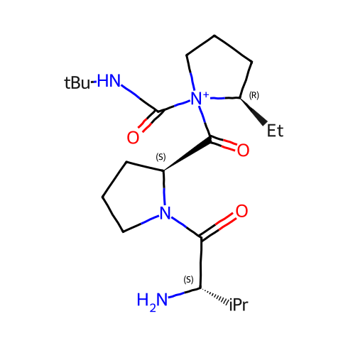 CC[C@@H]1CCC[N+]1(C(=O)NC(C)(C)C)C(=O)[C@@H]1CCCN1C(=O)[C@@H](N)C(C)C